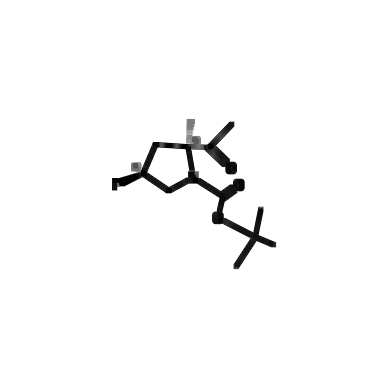 CC(=O)[C@]1(C)C[C@H](F)CN1C(=O)OC(C)(C)C